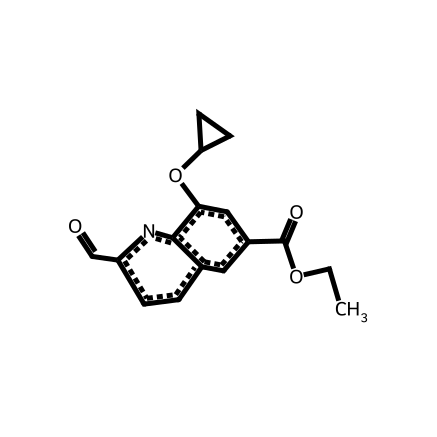 CCOC(=O)c1cc(OC2CC2)c2nc(C=O)ccc2c1